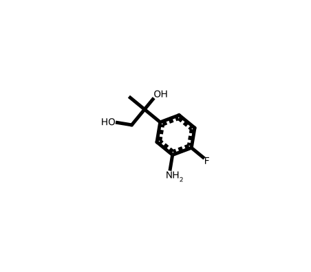 CC(O)(CO)c1ccc(F)c(N)c1